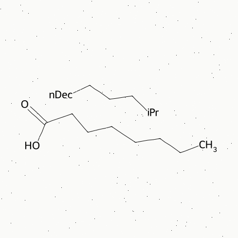 CCCCCCCC(=O)O.CCCCCCCCCCCCCC(C)C